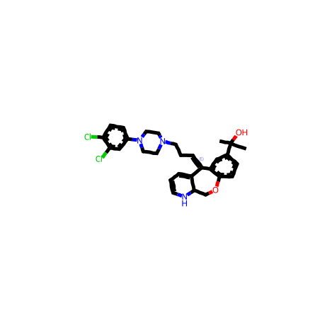 CC(C)(O)c1ccc2c(c1)/C(=C/CCN1CCN(c3ccc(Cl)c(Cl)c3)CC1)C1=CC=CNC1CO2